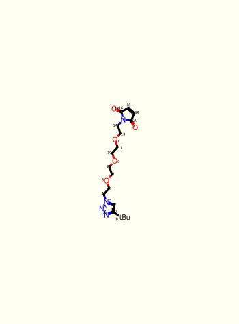 CC(C)(C)c1cn(CCOCCOCCOCCN2C(=O)C=CC2=O)nn1